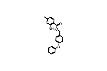 Cc1ccc(C(=O)OCC2=CC=C(Oc3ccccc3)CC2)c(N)n1